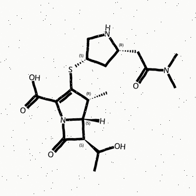 CC(O)[C@H]1C(=O)N2C(C(=O)O)=C(S[C@@H]3CN[C@H](CC(=O)N(C)C)C3)[C@H](C)[C@H]12